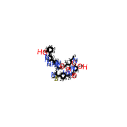 Cc1cc([C@H](C(=O)N2C[C@H](O)C[C@H]2C(=O)N[C@@H](C)c2ccc(-c3scnc3C)cc2)[C@H](C)COCCn2cc(-c3cc(-c4ccccc4O)nnc3N)cn2)on1